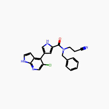 N#CCCN(Cc1ccccc1)C(=O)c1cc(-c2c(Cl)cnc3[nH]ccc23)c[nH]1